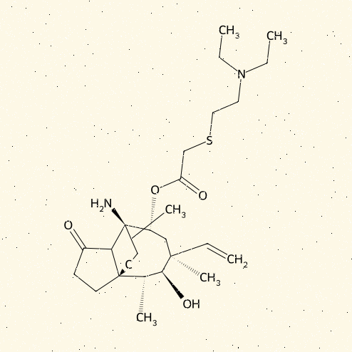 C=C[C@]1(C)C[C@@H](OC(=O)CSCCN(CC)CC)[C@]2(N)C(C)CC[C@]3(CCC(=O)C32)[C@@H](C)[C@@H]1O